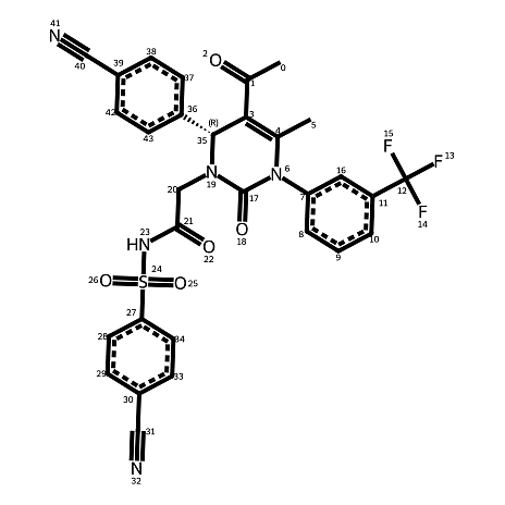 CC(=O)C1=C(C)N(c2cccc(C(F)(F)F)c2)C(=O)N(CC(=O)NS(=O)(=O)c2ccc(C#N)cc2)[C@@H]1c1ccc(C#N)cc1